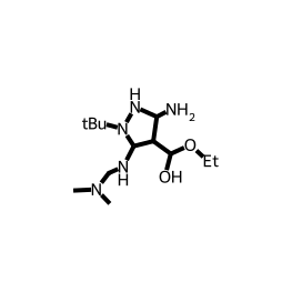 CCOC(O)C1C(N)NN(C(C)(C)C)C1NCN(C)C